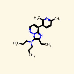 CCCN(CCC)c1c(CC)nc2c(-c3ccc(C)nc3C)ccnn12